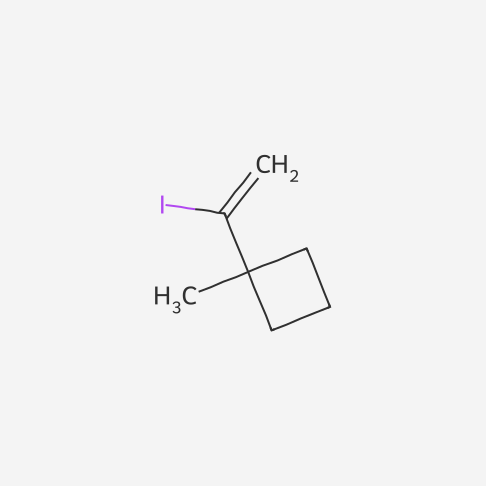 C=C(I)C1(C)CCC1